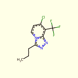 CCCc1nnc2c(C(F)(F)F)c(Cl)ccn12